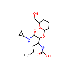 CCCC(NC(=O)O)C(OC1CCCC(CO)O1)C(=O)NC1CC1